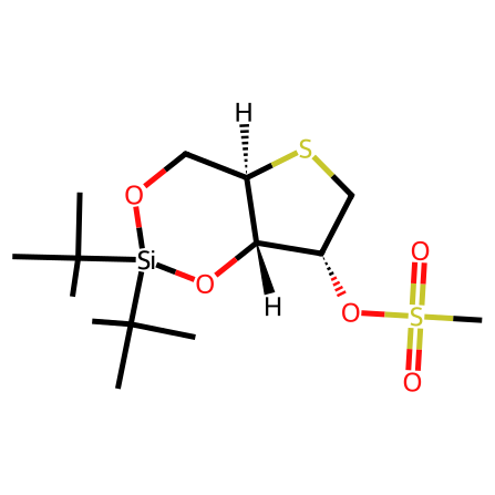 CC(C)(C)[Si]1(C(C)(C)C)OC[C@H]2SC[C@H](OS(C)(=O)=O)[C@@H]2O1